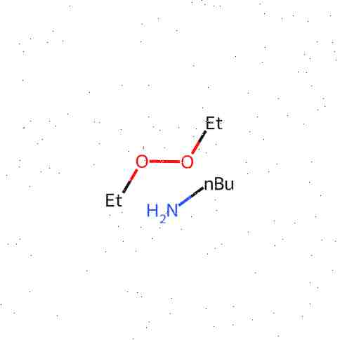 CCCCN.CCOOCC